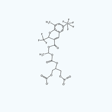 Cc1cc(S(F)(F)(F)(F)F)cc2c1OC(C(F)(F)F)C(C(=O)OC(C)OC(=O)OC(CO[N+](=O)[O-])CO[N+](=O)[O-])=C2